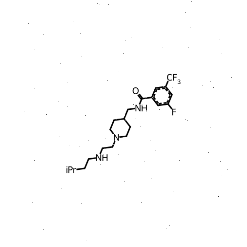 CC(C)CCNCCN1CCC(CNC(=O)c2cc(F)cc(C(F)(F)F)c2)CC1